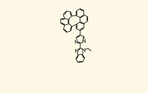 CCn1c(-c2ncc(-c3cc4ccc5cccc6c7cccc8ccc9cccc(c(c3)c4c56)c9c87)cn2)nc2ccccc21